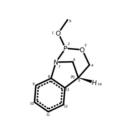 COP1OC[C@H]2CN1c1ccccc12